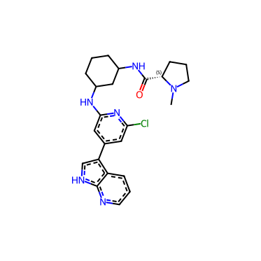 CN1CCC[C@H]1C(=O)NC1CCCC(Nc2cc(-c3c[nH]c4ncccc34)cc(Cl)n2)C1